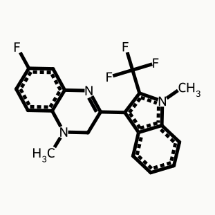 CN1CC(c2c(C(F)(F)F)n(C)c3ccccc23)=Nc2cc(F)ccc21